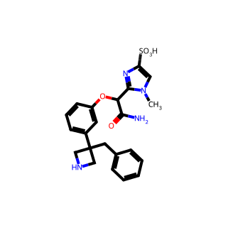 Cn1cc(S(=O)(=O)O)nc1C(Oc1cccc(C2(Cc3ccccc3)CNC2)c1)C(N)=O